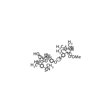 COC(=O)C[C@@H]1N=C(c2ccc(N3CCC(Oc4ccc(C(=O)N[C@H](C(=O)N5C[C@H](O)C[C@H]5C(=O)N[C@@H](C)c5ccc(-c6scnc6C)cc5)C(C)(C)C)cc4)CC3)cc2)c2c(sc(C)c2C)-n2c(C)nnc21